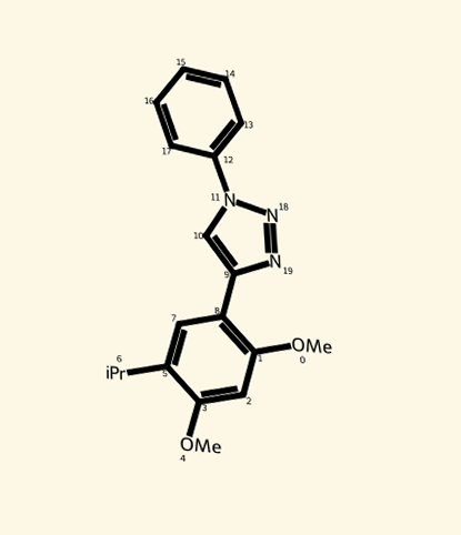 COc1cc(OC)c(C(C)C)cc1-c1cn(-c2ccccc2)nn1